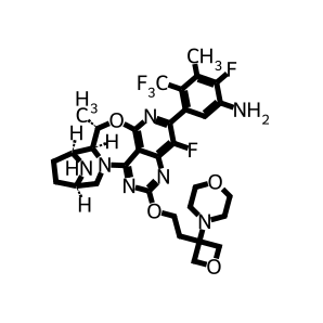 Cc1c(F)c(N)cc(-c2nc3c4c(nc(OCCC5(N6CCOCC6)COC5)nc4c2F)N2C[C@H]4CC[C@H](N4)[C@H]2[C@H](C)O3)c1C(F)(F)F